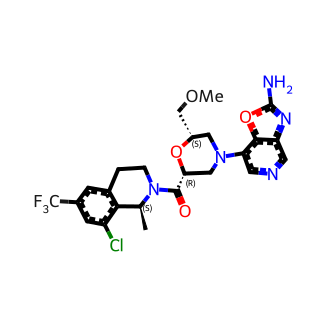 COC[C@@H]1CN(c2cncc3nc(N)oc23)C[C@H](C(=O)N2CCc3cc(C(F)(F)F)cc(Cl)c3[C@@H]2C)O1